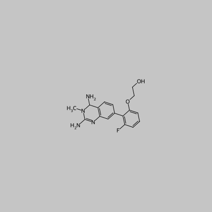 CN1C(N)=Nc2cc(-c3c(F)cccc3OCCO)ccc2C1N